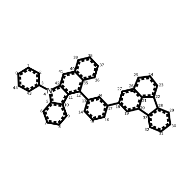 c1ccc(-n2c3ccccc3c3c(-c4cccc(-c5cc6c7c(cccc7c5)-c5ccccc5-6)c4)c4ccccc4cc32)cc1